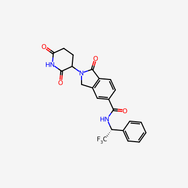 O=C1CCC(N2Cc3cc(C(=O)N[C@H](c4ccccc4)C(F)(F)F)ccc3C2=O)C(=O)N1